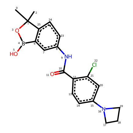 CC1(C)OB(O)c2cc(NC(=O)c3ccc(N4CCC4)cc3Cl)ccc21